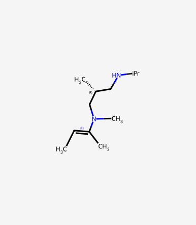 C/C=C(\C)N(C)C[C@H](C)CNC(C)C